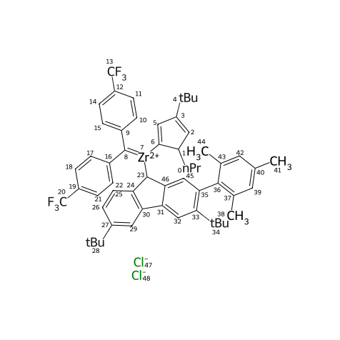 CCCC1C=C(C(C)(C)C)C=[C]1[Zr+2](=[C](c1ccc(C(F)(F)F)cc1)c1ccc(C(F)(F)F)cc1)[CH]1c2ccc(C(C)(C)C)cc2-c2cc(C(C)(C)C)c(-c3c(C)cc(C)cc3C)cc21.[Cl-].[Cl-]